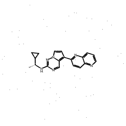 C[C@@H](Nc1ncc2c(-c3ccc4ncccc4n3)ccn2n1)C1CC1